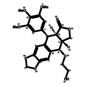 COc1cc([C@@H]2c3cc4c(cc3[C@H](OCCO)[C@H]3COC(=O)[C@H]23)OCO4)cc(OC)c1OC